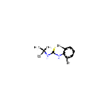 CCC(C)(C)NC(=S)Nc1c(C(C)C)cccc1C(C)C